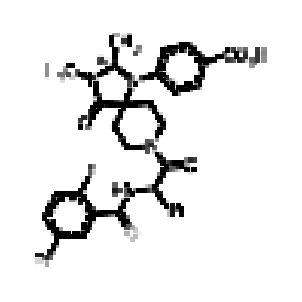 CCc1ccc(F)c(C(=O)NC(C(=O)N2CCC3(CC2)C(=O)N(C)[C@@H](C)N3c2ccc(C(=O)O)cc2)C(C)C)c1